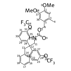 COc1cc(C)c(COC(=O)NCC(Cc2ccccc2)(c2cccc(OC(F)(F)F)c2)c2cccc(OC(F)(F)F)c2)cc1OC